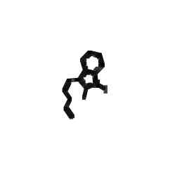 C=CC/C=C\c1c(C)n(I)c2ccccc12